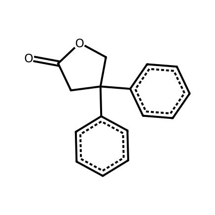 O=C1CC(c2ccccc2)(c2ccccc2)CO1